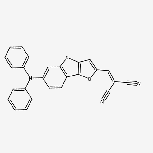 N#CC(C#N)=Cc1cc2sc3cc(N(c4ccccc4)c4ccccc4)ccc3c2o1